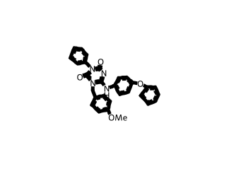 COc1ccc(Cn2c(Nc3ccc(Oc4ccccc4)cc3)nc(=O)n(-c3ccccc3)c2=O)cc1